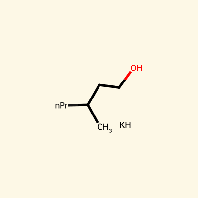 CCCC(C)CCO.[KH]